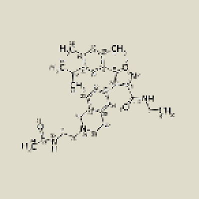 CCNC(=O)c1noc(-c2cc(C(C)C)c(C)cc2C)c1-c1ccc2c(c1)CCN(CCNC(C)=O)C2